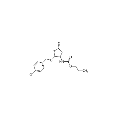 C=CCOC(=O)NC1CC(=O)OC1OCc1ccc(Cl)cc1